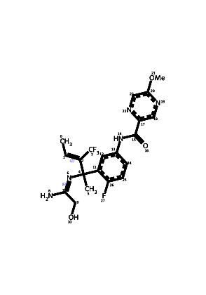 C/C=C(\C(F)(F)F)C(C)(/N=C(/N)CO)c1cc(NC(=O)c2cnc(OC)cn2)ccc1F